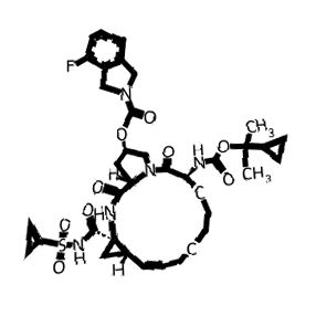 CC(C)(OC(=O)N[C@H]1CCCCC/C=C\[C@@H]2C[C@@]2(C(=O)NS(=O)(=O)C2CC2)NC(=O)[C@@H]2C[C@@H](OC(=O)N3Cc4cccc(F)c4C3)CN2C1=O)C1CC1